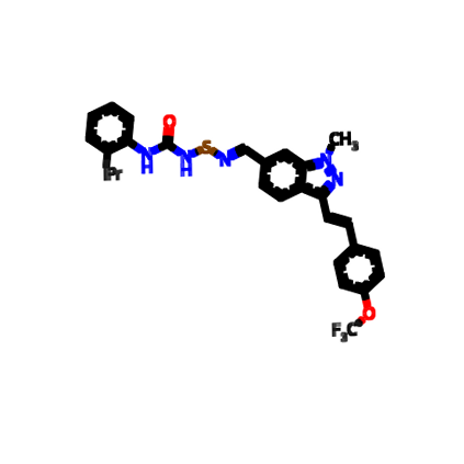 CC(C)c1ccccc1NC(=O)NS/N=C/c1ccc2c(/C=C/c3ccc(OC(F)(F)F)cc3)nn(C)c2c1